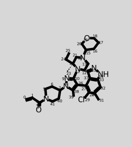 C=CC(=O)N1CCC(n2nc(N3CCN(C4CCCOC4)C[C@]3(C)CC)c(-c3c(Cl)c(C)cc4[nH]ncc34)c2C)CC1